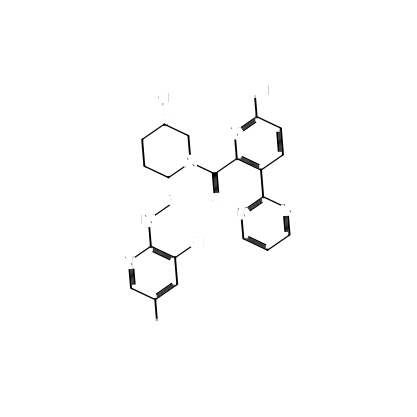 Cc1ccc(-c2ncccn2)c(C(=O)N2C[C@@H](C)CC[C@H]2CNc2ncc(F)cc2C)n1